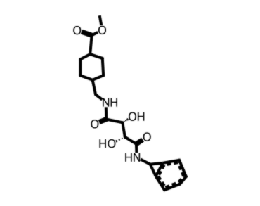 COC(=O)C1CCC(CNC(=O)[C@H](O)[C@@H](O)C(=O)NC2c3ccccc32)CC1